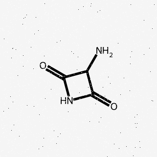 NC1C(=O)NC1=O